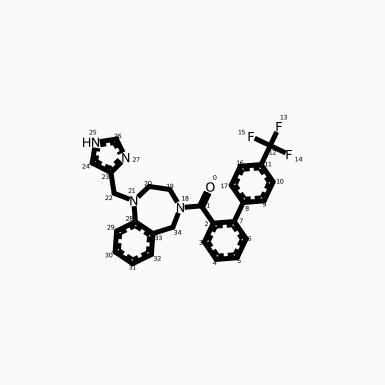 O=C(c1ccccc1-c1ccc(C(F)(F)F)cc1)N1CCN(Cc2c[nH]cn2)c2ccccc2C1